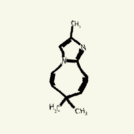 Cc1cn2c(n1)C=CC(C)(C)C=C2